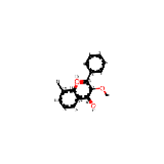 COc1c(-c2ccccc2)oc2c(C)cccc2c1=O